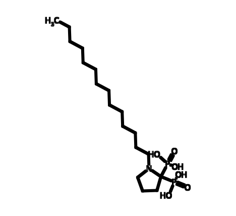 CCCCCCCCCCCCCCN1CCCC1(P(=O)(O)O)P(=O)(O)O